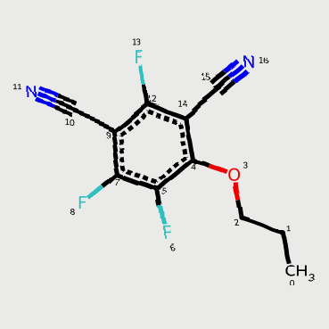 CCCOc1c(F)c(F)c(C#N)c(F)c1C#N